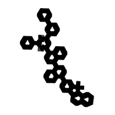 CC1(C)c2cc(C3=CC=C(c4ccc(-c5cc(-c6cccc(-c7ccccc7)c6)nc(-c6ccccc6)n5)c5ccccc45)C4C=CC=CC34)ccc2-c2ccc3ccccc3c21